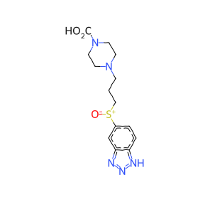 O=C(O)N1CCN(CCC[S+]([O-])c2ccc3[nH]nnc3c2)CC1